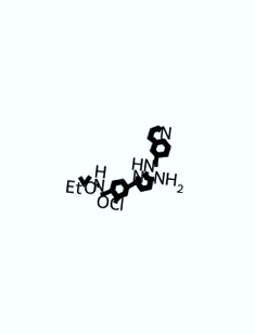 CCC(C)(C)ONC(=O)c1ccc(-c2ccc(N)c(NCc3ccc4ncccc4c3)n2)cc1Cl